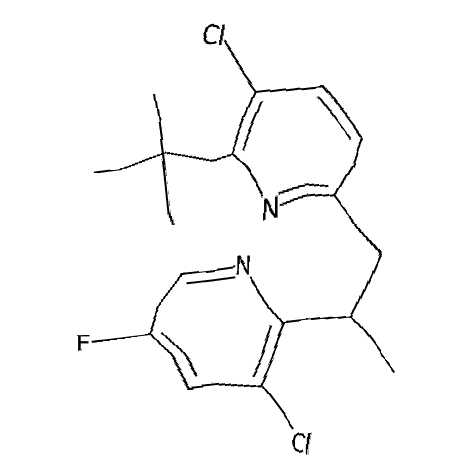 CC(Cc1ccc(Cl)c(C(C)(C)C)n1)c1ncc(F)cc1Cl